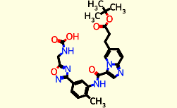 Cc1ccc(-c2noc(CNC(=O)O)n2)cc1NC(=O)c1cnc2ccc(CCC(=O)OC(C)(C)C)cn12